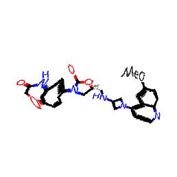 COc1ccc2nccc(N3CC(NC[C@@H]4CN(c5ccc6c(c5)NC(=O)CO6)C(=O)O4)C3)c2c1